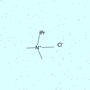 CC(C)[N+](C)(C)C.[Cl-]